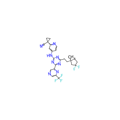 C[C@@]1(CCc2nc(Nc3ccnc(C4(C#N)CC4)c3)nc(-c3cncc(C(F)(F)F)n3)n2)CCC(F)(F)C1